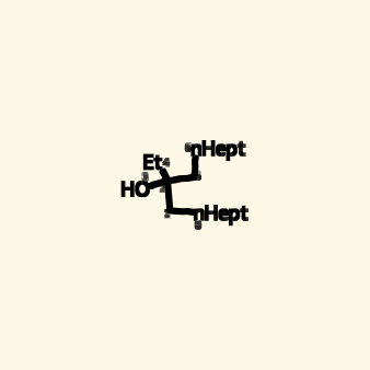 CCCCCCCCC(O)(CC)CCCCCCCC